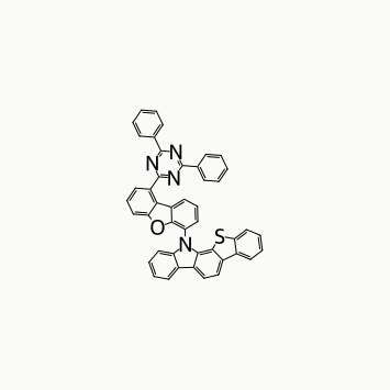 c1ccc(-c2nc(-c3ccccc3)nc(-c3cccc4oc5c(-n6c7ccccc7c7ccc8c9ccccc9sc8c76)cccc5c34)n2)cc1